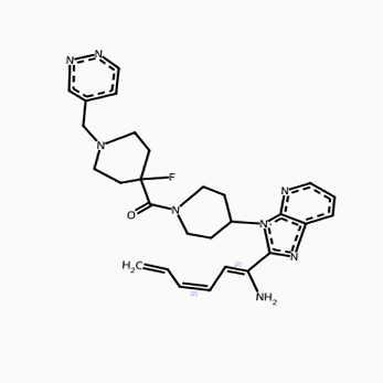 C=C/C=C\C=C(/N)c1nc2cccnc2n1C1CCN(C(=O)C2(F)CCN(Cc3ccnnc3)CC2)CC1